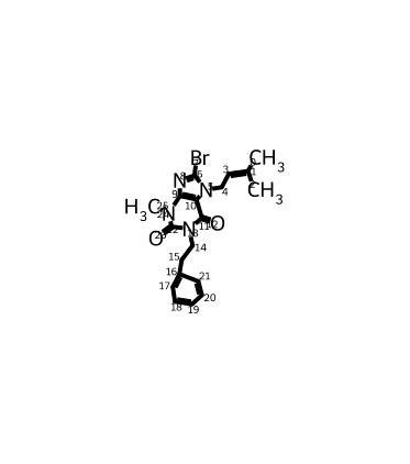 CC(C)=CCn1c(Br)nc2c1c(=O)n(CCc1ccccc1)c(=O)n2C